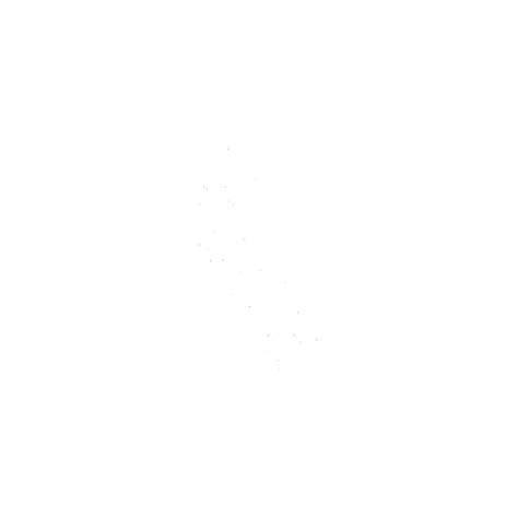 CC1C(=O)c2c(Cl)cccc2OC12CCN(c1ncc(-c3nnn(C(C(=O)O)C(C)(C)C)n3)s1)CC2